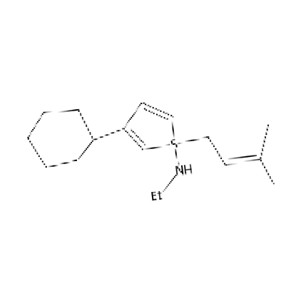 CCNS1(CC=C(C)C)C=CC(C2CCCCC2)=C1